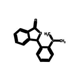 CN(C)c1ccccc1C1OC(=O)c2ccccc21